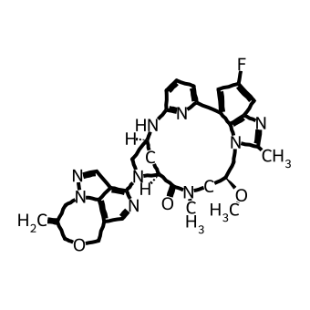 C=C1COCc2cnc(N3C[C@@H]4C[C@H]3C(=O)N(C)C[C@H](OC)Cn3c(C)nc5cc(F)cc(c53)-c3cccc(n3)N4)c3cnn(c23)C1